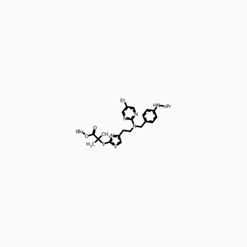 CCCNc1ccc(CN(CCc2csc(SC(C)(C)C(=O)OC(C)(C)C)n2)c2ncc(CC)cn2)cc1